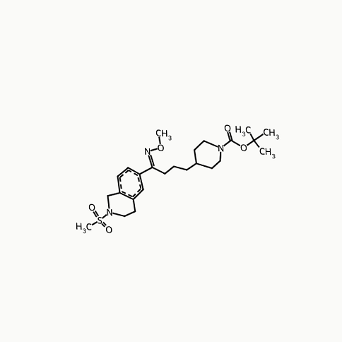 CON=C(CCCC1CCN(C(=O)OC(C)(C)C)CC1)c1ccc2c(c1)CCN(S(C)(=O)=O)C2